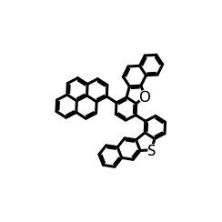 c1ccc2cc3c(cc2c1)sc1cccc(-c2ccc(-c4ccc5ccc6cccc7ccc4c5c67)c4c2oc2c5ccccc5ccc24)c13